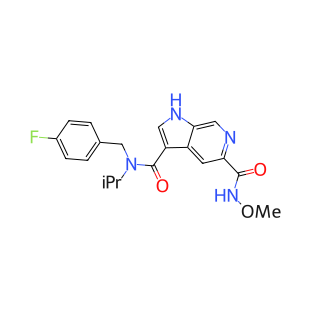 CONC(=O)c1cc2c(C(=O)N(Cc3ccc(F)cc3)C(C)C)c[nH]c2cn1